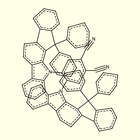 N#Cc1cc(-n2c3ccccc3c3ccc4c(c32)C(c2ccccc2)(c2ccccc2)c2ccccc2-4)c(-n2c3ccccc3c3ccc4c(c32)C(c2ccccc2)(c2ccccc2)c2ccccc2-4)cc1C#N